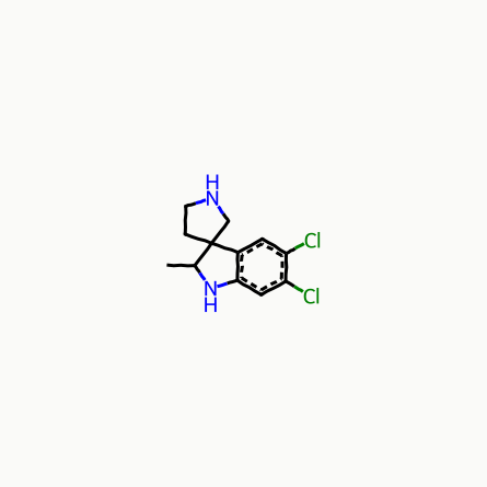 CC1Nc2cc(Cl)c(Cl)cc2C12CCNC2